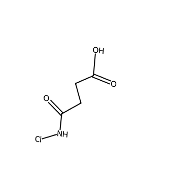 O=C(O)CCC(=O)NCl